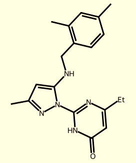 CCc1cc(=O)[nH]c(-n2nc(C)cc2NCc2ccc(C)cc2C)n1